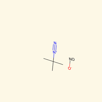 CC(C)(C)[N+]#N.O=N[O-]